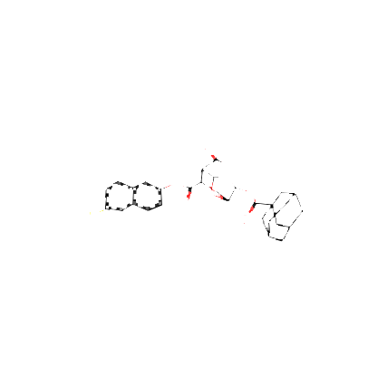 O=C1OB2C(OC(=O)C34CC5CC(CC(C5)C3)C4)C3OC2C1C3C(=O)Oc1ccc2cc(S)ccc2c1